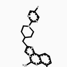 Nc1nc2c(F)cccc2c2nc(CC3CCN(c4ncc(F)cn4)CC3)cn12